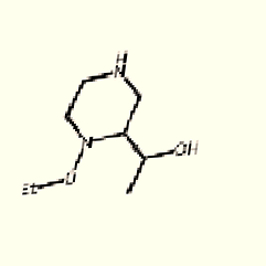 CCON1CCNCC1C(C)O